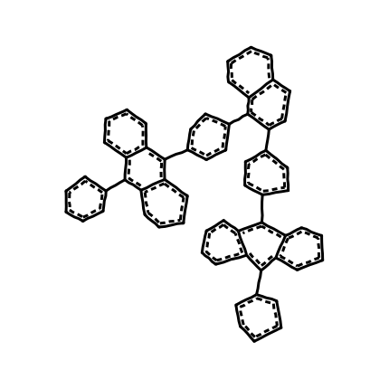 c1ccc(-c2c3ccccc3c(-c3ccc(-c4ccc5ccccc5c4-c4ccc(-c5c6ccccc6c(-c6ccccc6)c6ccccc56)cc4)cc3)c3ccccc23)cc1